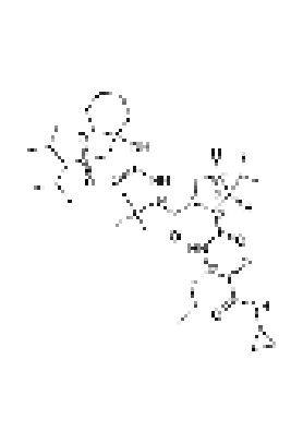 CCC[C@H](NC(=O)[C@@H]1[C@@H]2[C@H](CN1C(=O)[C@@H](NC(=O)NC1(CS(=O)(=O)N(C(C)C)C(C)C)CCCCC1)C(C)(C)C)C2(C)C)C(=O)C(=O)NC1CC1